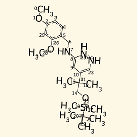 COc1ccc(CNC2=CC(C(C)(C)CO[Si](C)(C)C(C)(C)C)=CNN2)c(OC)c1